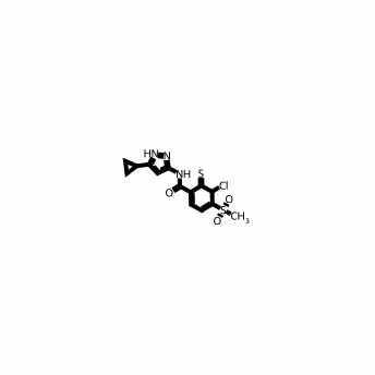 CS(=O)(=O)C1=CC=C(C(=O)Nc2cc(C3CC3)[nH]n2)C(=S)C1Cl